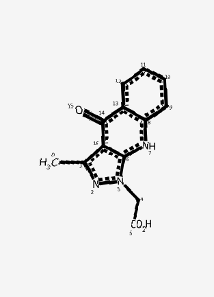 Cc1nn(CC(=O)O)c2[nH]c3ccccc3c(=O)c12